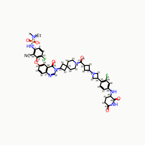 CCN(C)S(=O)(=O)Nc1ccc(F)c(Oc2ccc3ncn(C4CC5(CCN(C(=O)C6CC(N7CC(c8ccc(NC9CCC(=O)NC9=O)cc8F)C7)C6)CC5)C4)c(=O)c3c2)c1C#N